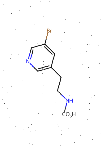 O=C(O)NCCc1cncc(Br)c1